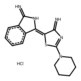 Cl.N=C1N=C(N2CCCCC2)S/C1=C1/NC(=N)c2ccccc21